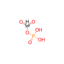 O=[SeH](=O)OP(=O)(O)O